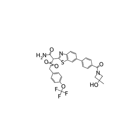 CC1(O)CN(C(=O)c2ccc(-c3ccc4nc(C(C(N)=O)S(=O)(=O)Cc5ccc(OC(F)(F)F)cc5)sc4c3)cc2)C1